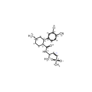 CC(/C=C\S(C)(=O)=O)NC(=O)N1CC[C@@H](C)C[C@H]1c1ccc(C#N)c(Cl)c1